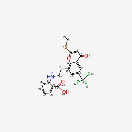 CCSc1cc(=O)c2cc(C(F)(F)F)cc(CCNc3ccccc3C(=O)O)c2o1